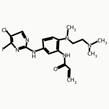 C=CC(=O)Nc1cc(Nc2ncc(Cl)c(I)n2)ccc1N(C)CCN(C)C